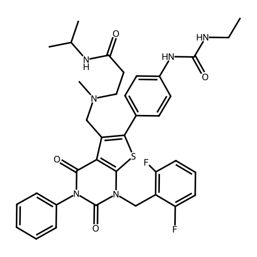 CCNC(=O)Nc1ccc(-c2sc3c(c2CN(C)CCC(=O)NC(C)C)c(=O)n(-c2ccccc2)c(=O)n3Cc2c(F)cccc2F)cc1